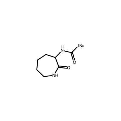 CC(C)(C)C(=O)NC1CCCCNC1=O